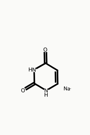 O=c1cc[nH]c(=O)[nH]1.[Na]